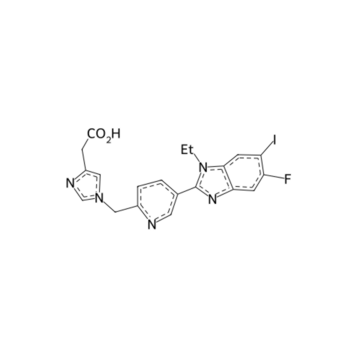 CCn1c(-c2ccc(Cn3cnc(CC(=O)O)c3)nc2)nc2cc(F)c(I)cc21